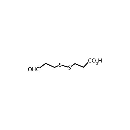 O=CCCSSCCC(=O)O